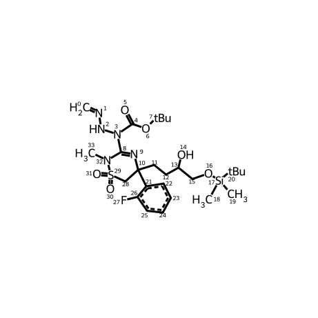 C=NNN(C(=O)OC(C)(C)C)C1=NC(CCC(O)CO[Si](C)(C)C(C)(C)C)(c2ccccc2F)CS(=O)(=O)N1C